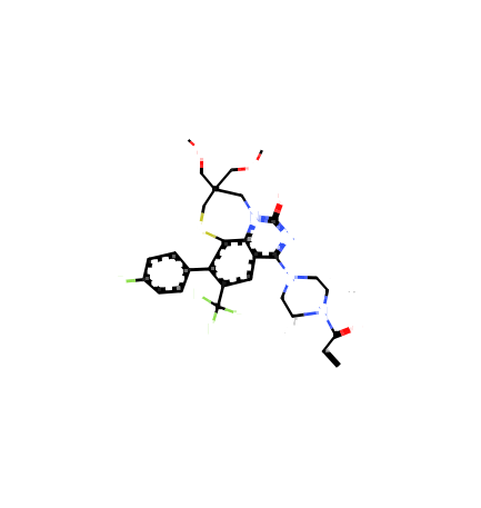 C=CC(=O)N1[C@H](C)CN(c2nc(=O)n3c4c(c(-c5ccc(F)cc5)c(C(F)(F)F)cc24)SCC(COC)(COC)C3)C[C@@H]1C